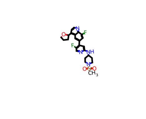 CS(=O)(=O)N1CCC(Nc2cc(-c3cc(F)c4nccc(C5CCCO5)c4c3)c(F)cn2)CC1